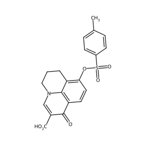 Cc1ccc(S(=O)(=O)Oc2ccc3c(=O)c(C(=O)O)cn4c3c2CCC4)cc1